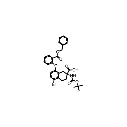 CC(C)(C)OC(=O)N[C@@]1(C(=O)O)CCc2c(Br)ccc(Oc3ccccc3C(=O)OCc3ccccc3)c2C1